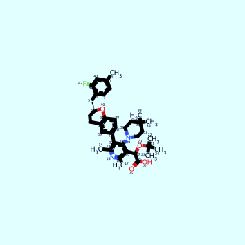 Cc1ccc(C[C@H]2CCc3cc(-c4c(C)nc(C)c(C(OC(C)(C)C)C(=O)O)c4N4CCC(C)(C)CC4)ccc3O2)c(F)c1